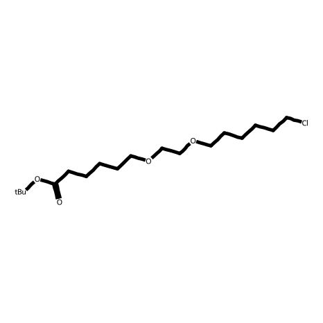 CC(C)(C)OC(=O)CCCCCOCCOCCCCCCCl